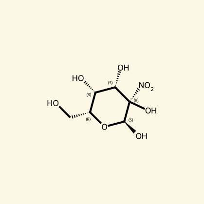 O=[N+]([O-])[C@]1(O)[C@@H](O)O[C@H](CO)[C@H](O)[C@@H]1O